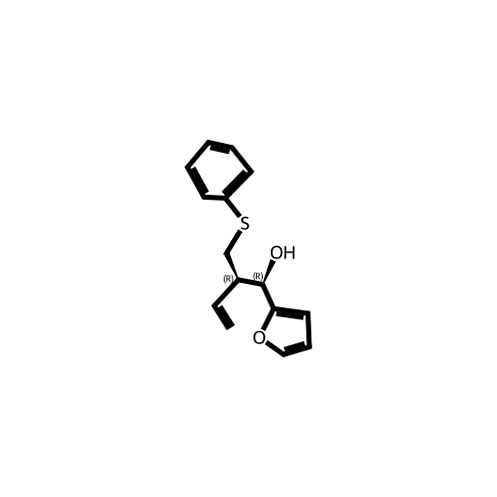 C=C[C@@H](CSc1ccccc1)[C@@H](O)c1ccco1